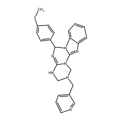 CSc1ccc(C2N=C3NCN(Cc4cccnc4)CN3c3nc4ccccc4n32)cc1